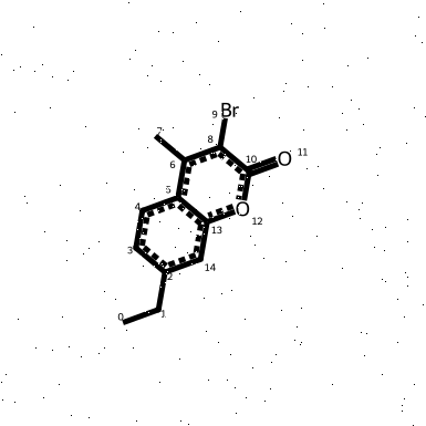 CCc1ccc2c(C)c(Br)c(=O)oc2c1